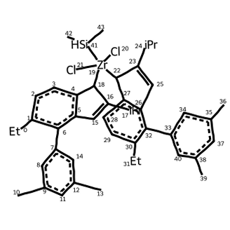 CCc1ccc2c(c1-c1cc(C)cc(C)c1)C=C(C(C)C)[CH]2[Zr]([Cl])([Cl])([CH]1C(C(C)C)=Cc2c1ccc(CC)c2-c1cc(C)cc(C)c1)[SiH](C)C